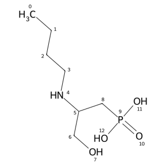 CCCCNC(CO)CP(=O)(O)O